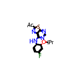 CC(=O)c1nc2c(NC3C=CC(F)=CC3OC(C)C)ncnc2s1